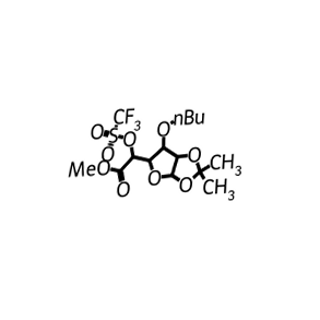 CCCCOC1C2OC(C)(C)OC2OC1C(OS(=O)(=O)C(F)(F)F)C(=O)OC